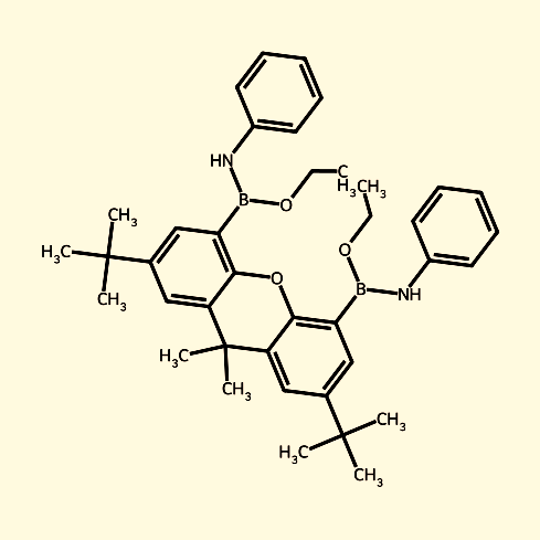 CCOB(Nc1ccccc1)c1cc(C(C)(C)C)cc2c1Oc1c(B(Nc3ccccc3)OCC)cc(C(C)(C)C)cc1C2(C)C